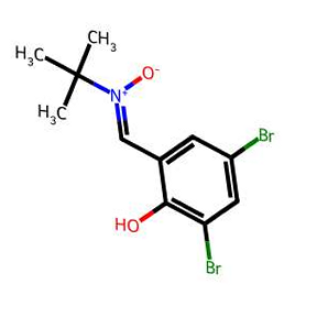 CC(C)(C)[N+]([O-])=Cc1cc(Br)cc(Br)c1O